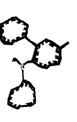 Cc1ccc(N(C)c2ccccc2)c(-c2ccccc2)c1